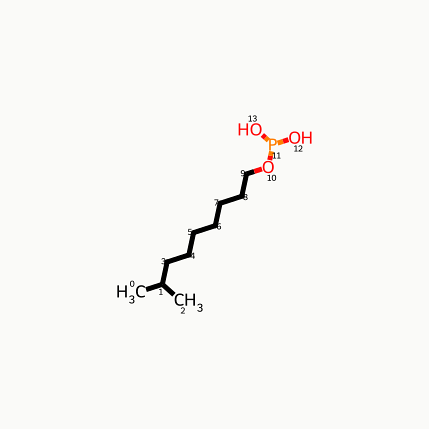 CC(C)CCCCCCCOP(O)O